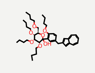 CCCCOC[C@H]1OC(O)(c2cc(Cc3cc4cccccc-4c3)ccc2OCCCC)[C@H](OCCCC)[C@@H](OCCCC)[C@@H]1OCCCC